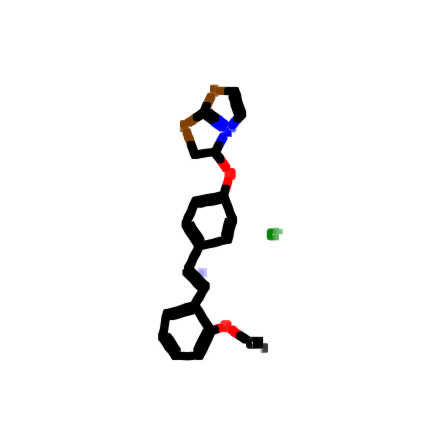 COc1ccccc1/C=C/c1ccc(OC2CSc3scc[n+]32)cc1.[Cl-]